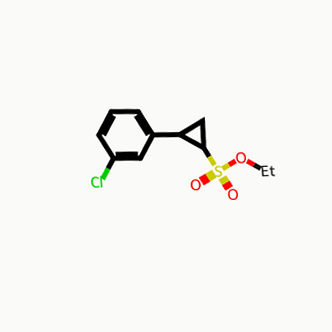 CCOS(=O)(=O)C1CC1c1cccc(Cl)c1